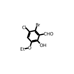 CCOc1cc(Cl)c(Br)c(C=O)c1O